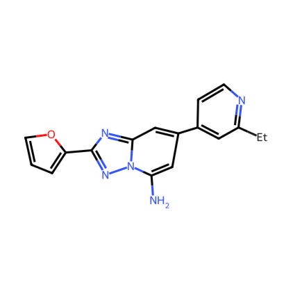 CCc1cc(-c2cc(N)n3nc(-c4ccco4)nc3c2)ccn1